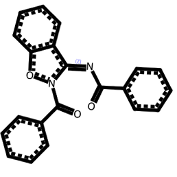 O=C(/N=c1/c2ccccc2on1C(=O)c1ccccc1)c1ccccc1